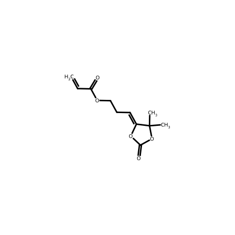 C=CC(=O)OCCC=C1OC(=O)OC1(C)C